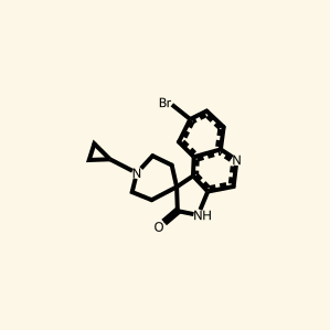 O=C1Nc2cnc3ccc(Br)cc3c2C12CCN(C1CC1)CC2